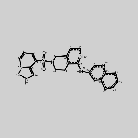 O=S(=O)(C1=CC=CN2SNC=C12)N1CCc2c(ccnc2Nc2cnc3ccccc3c2)C1